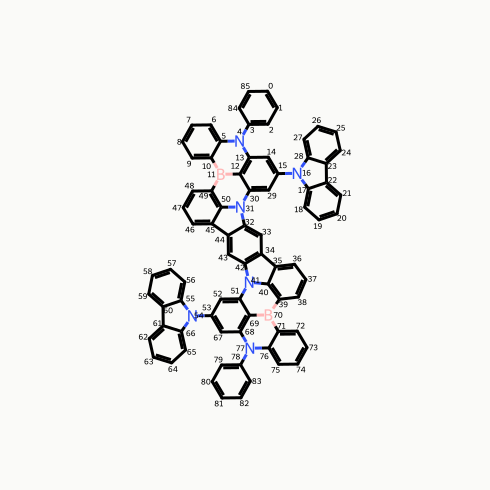 c1ccc(N2c3ccccc3B3c4c2cc(-n2c5ccccc5c5ccccc52)cc4-n2c4cc5c6cccc7c6n(c5cc4c4cccc3c42)-c2cc(-n3c4ccccc4c4ccccc43)cc3c2B7c2ccccc2N3c2ccccc2)cc1